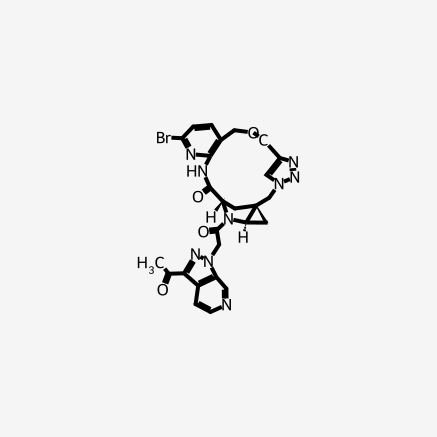 CC(=O)c1nn(CC(=O)N2[C@H]3C[C@]4(C[C@@H]24)Cn2cc(nn2)COCc2ccc(Br)nc2NC3=O)c2cnccc12